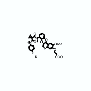 COc1cc2c(Oc3cccc(NC(=O)C4(C(=O)Nc5ccc(F)cc5)CC4)c3Cl)ccnc2cc1OCCC(=O)[O-].[K+]